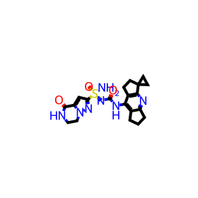 NS(=O)(=NC(=O)Nc1c2c(nc3c1CCC31CC1)CCC2)c1cc2n(n1)CCNC2=O